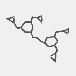 C(CC1CC(CC2CS2)CC(CC2CS2)C1)CC1CC(CC2CS2)CC(CC2CS2)C1